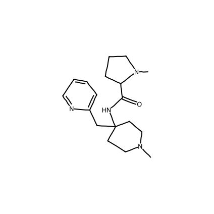 CN1CCC(Cc2ccccn2)(NC(=O)C2CCCN2C)CC1